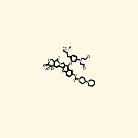 CCc1c2c(nc3ccc(OC(=O)N4CCC(N5CCCCC5)CC4)cc13)-c1cc3c(c(=O)n1C2)COC(=O)[C@]3(O)CC.O=C(O)CCCc1ccc(N(CCCl)CCCl)cc1